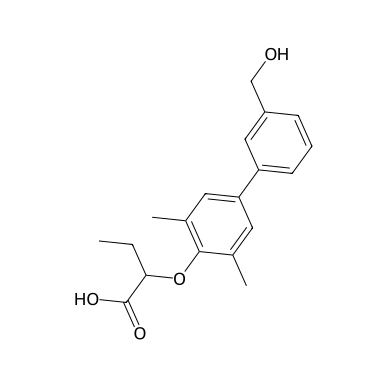 CCC(Oc1c(C)cc(-c2cccc(CO)c2)cc1C)C(=O)O